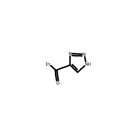 CCC(=O)c1c[nH]nn1